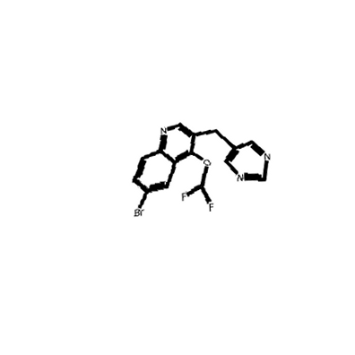 FC(F)Oc1c(Cc2cncnc2)cnc2ccc(Br)cc12